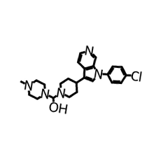 CN1CCN(C(O)N2CCC(c3cn(-c4ccc(Cl)cc4)c4cnccc34)CC2)CC1